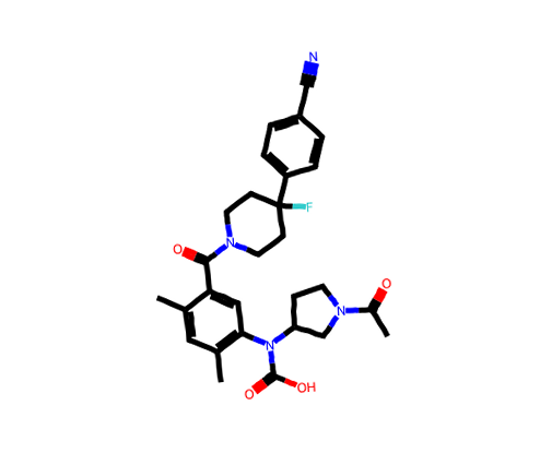 CC(=O)N1CCC(N(C(=O)O)c2cc(C(=O)N3CCC(F)(c4ccc(C#N)cc4)CC3)c(C)cc2C)C1